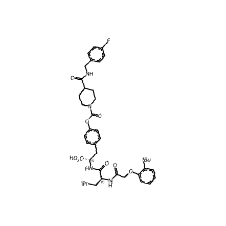 CC(C)C[C@H](NC(=O)COc1ccccc1C(C)(C)C)C(=O)N[C@@H](Cc1ccc(OC(=O)N2CCC(C(=O)NCc3ccc(F)cc3)CC2)cc1)C(=O)O